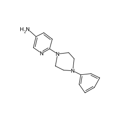 Nc1ccc(N2CCN(c3ccccc3)CC2)nc1